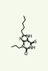 CCCCCc1nc2c([nH]1)c(=S)[nH]c(=O)n2CCC